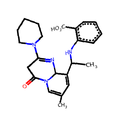 CC1=CN2C(=O)CC(N3CCCCC3)=NC2C(C(C)Nc2ccccc2C(=O)O)=C1